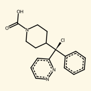 O=C(O)N1CCC([C@](Cl)(c2ccccc2)c2cccnn2)CC1